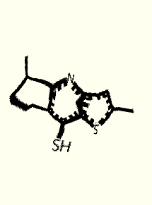 Cc1cc2nc3c(c(S)c2s1)CCC3C